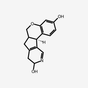 Oc1ccc2c(c1)OCC1CC3=C(C=NC(O)C3)[C@H]21